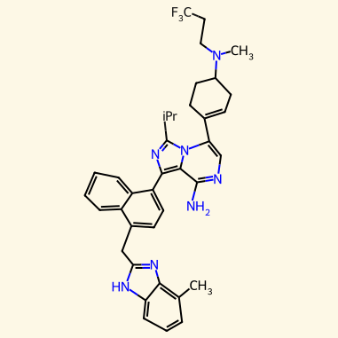 Cc1cccc2[nH]c(Cc3ccc(-c4nc(C(C)C)n5c(C6=CCC(N(C)CCC(F)(F)F)CC6)cnc(N)c45)c4ccccc34)nc12